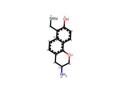 CNCc1c(O)ccc2c3c(ccc12)CC(N)CO3